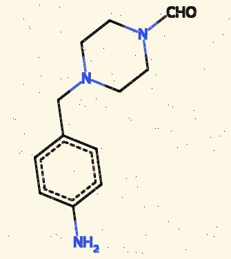 Nc1ccc(CN2CCN(C=O)CC2)cc1